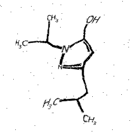 CC(C)Cc1cc(O)n(C(C)C)n1